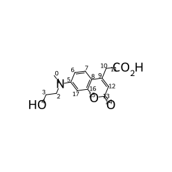 CN(CCO)c1ccc2c(CC(=O)O)cc(=O)oc2c1